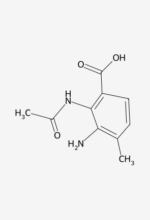 CC(=O)Nc1c(C(=O)O)ccc(C)c1N